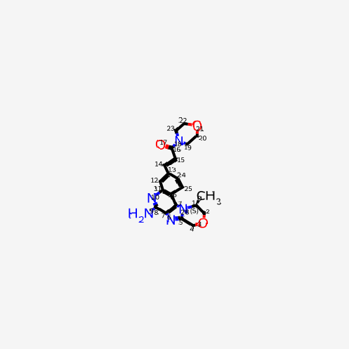 C[C@H]1COCc2nc3c(N)nc4cc(C=CC(=O)N5CCOCC5)ccc4c3n21